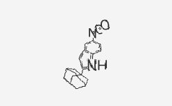 O=C=Nc1ccc2[nH]c(C34CC5CC(CC(C5)C3)C4)cc2c1